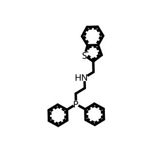 c1ccc(P(CCNCc2cc3ccccc3s2)c2ccccc2)cc1